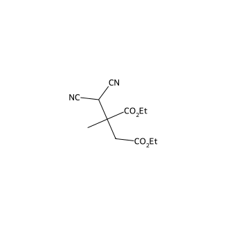 CCOC(=O)CC(C)(C(=O)OCC)C(C#N)C#N